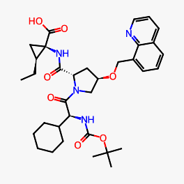 CC[C@H]1C[C@]1(NC(=O)[C@@H]1C[C@@H](OCc2cccc3cccnc23)CN1C(=O)[C@@H](NC(=O)OC(C)(C)C)C1CCCCC1)C(=O)O